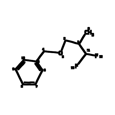 CC(COCc1ccccc1)C(F)F